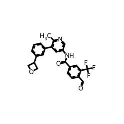 Cc1ncc(NC(=O)c2ccc(C=O)c(C(F)(F)F)c2)cc1-c1cccc(C2COC2)c1